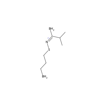 BCCCS/N=C(/B)C(C)C